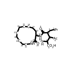 CC(=O)C(C(S)C(=O)O)C(CC(C)C)C(=O)NC1CCCCCCCCCCNC1=O